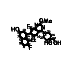 CCc1c(F)ccc2cc(O)cc(-c3ncc4c(N5CCC(O)(CO)CC5)nc(OC)nc4c3F)c12